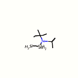 CC(C)N([SiH2][SiH3])C(C)(C)C